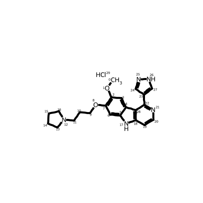 COc1cc2c(cc1OCCCN1CCCC1)[nH]c1ccnc(-c3cn[nH]c3)c12.Cl